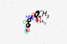 COC(=O)c1cc(Oc2nc3cc(-c4ccc(OC(F)(F)F)cc4)c(Cl)cc3[nH]2)ccc1C